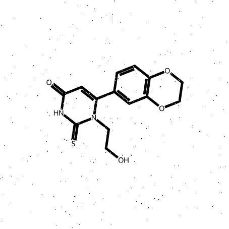 O=c1cc(-c2ccc3c(c2)OCCO3)n(CCO)c(=S)[nH]1